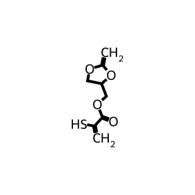 C=C1OCC(COC(=O)C(=C)S)O1